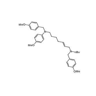 CCCCN(C/C=C/CCCCN(Cc1ccc(OC)cc1)c1ccc(OC)cc1)Cc1ccc(OC)cc1